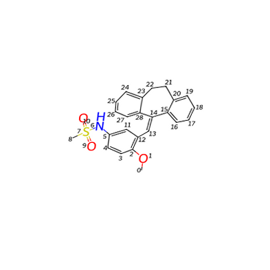 COc1ccc(NS(C)(=O)=O)cc1C=C1c2ccccc2CCc2ccccc21